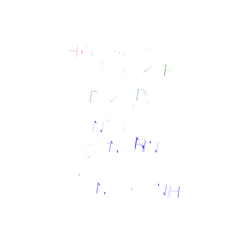 C#Cc1c(F)ccc2cc(O)cc(-c3c(F)cc4c(N5CC6CCC(C5)N6)nc(OCC5(CN6CCC7(CCNCC7)CC6)CC5)nc4c3F)c12